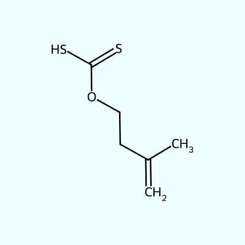 C=C(C)CCOC(=S)S